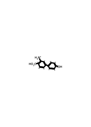 Nc1cc(-c2ccc(O)cc2)ccc1C(=O)O